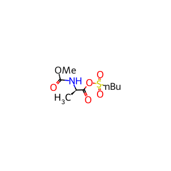 CCCCS(=O)(=O)OC(=O)[C@@H](C)NC(=O)OC